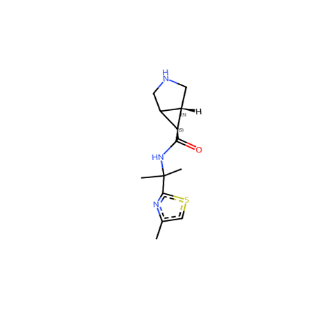 Cc1csc(C(C)(C)NC(=O)[C@H]2C3CNC[C@@H]32)n1